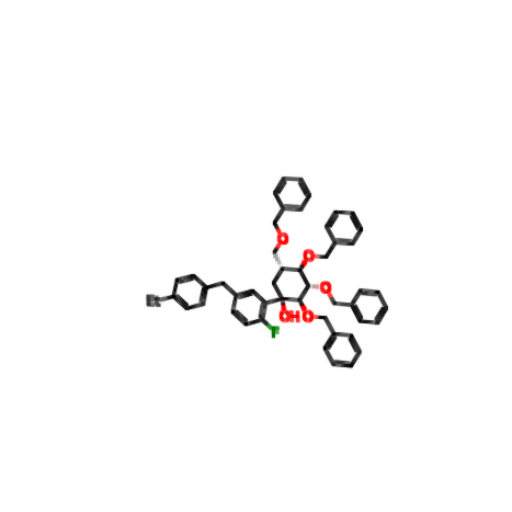 CCc1ccc(Cc2ccc(F)c([C@]3(O)C[C@H](COCc4ccccc4)[C@@H](OCc4ccccc4)[C@H](OCc4ccccc4)[C@H]3OCc3ccccc3)c2)cc1